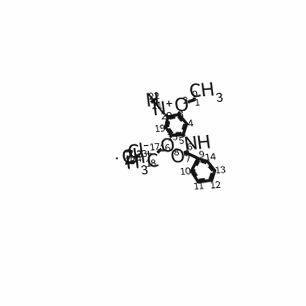 CCOc1cc(NC(=O)c2ccccc2)c(OCC)cc1[N+]#N.[Cl-].[Cl-].[Zn+]